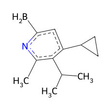 Bc1cc(C2CC2)c(C(C)C)c(C)n1